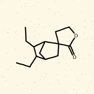 CCC1C2CC(C1CC)C1(CCOC1=O)C2